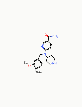 CCOc1cc(CN(c2ccc(C(N)=O)cn2)C2CCNCC2)ccc1OC